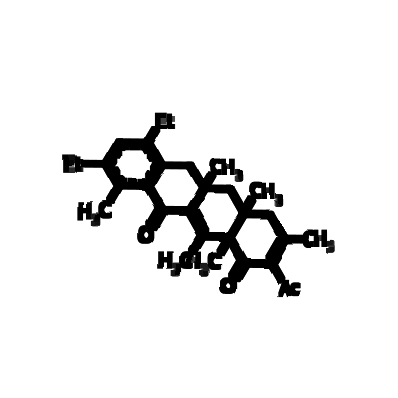 CCc1cc(CC)c2c(c1C)C(=O)C1=C(C)C3(C)C(=O)C(C(C)=O)=C(C)CC3(C)CC1(C)C2